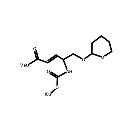 COC(=O)/C=C/C(COC1CCCCO1)NC(=O)OC(C)(C)C